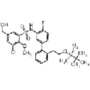 COc1c(Cl)cc(CO)cc1S(=O)(=O)Nc1cc(-c2ccccc2CCO[Si](C)(C)C(C)(C)C)ccc1F